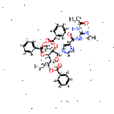 C/N=C(/NC(C)=O)NC(=O)c1cn([C@@H]2O[C@H]([C@@H](C)OC(=O)c3ccccc3)[C@@H](OC(=O)c3ccccc3)[C@@]2(C)OC(=O)c2ccccc2)cn1